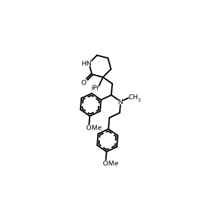 COc1ccc(CCN(C)C(CC2(C(C)C)CCCNC2=O)c2cccc(OC)c2)cc1